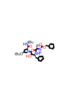 CC(C)CO[C@H]1C[C@@H](C(=O)NC(C)(C)C)N(C[C@@H](O)[C@H](Cc2ccccc2)NC(=O)[C@@H](NC(=O)OCc2ccccc2)C(C)C)C1